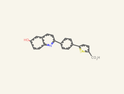 O=C(O)c1ccc(-c2ccc(-c3ccc4cc(O)ccc4n3)cc2)s1